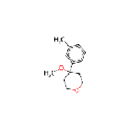 [CH2]c1cccc(C2(OC)CCOCC2)c1